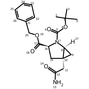 CC(C)(C)OC(=O)N1[C@H]2C[C@@]2(CC(N)=O)C[C@H]1C(=O)OCc1ccccc1